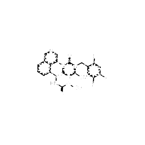 CSc1nc(=O)n(-c2cncc3cccc(CNC(=O)OC(C)(C)C)c23)c(=O)n1Cc1cc(F)c(F)cc1F